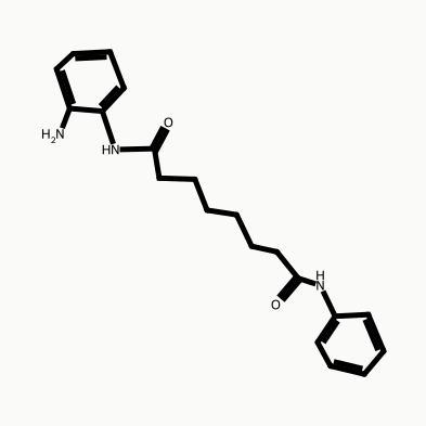 Nc1ccccc1NC(=O)CCCCCCC(=O)Nc1ccccc1